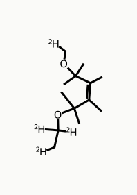 [2H]COC(C)(C)/C(C)=C(/C)C(C)(C)OC([2H])([2H])C[2H]